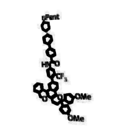 CCCCC[C@H]1CC[C@H](c2ccc(-c3ccc(C(=O)Nc4ccc(-c5ccc6c7c(c8c(c6c5)-c5ccccc5CO8)C=CC(c5ccc(OC)cc5)(c5ccc(OC)cc5)O7)c(C(F)(F)F)c4)cc3)cc2)CC1